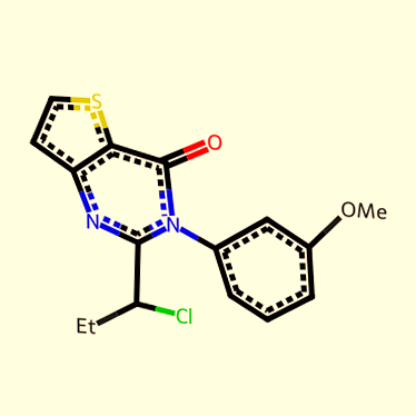 CCC(Cl)c1nc2ccsc2c(=O)n1-c1cccc(OC)c1